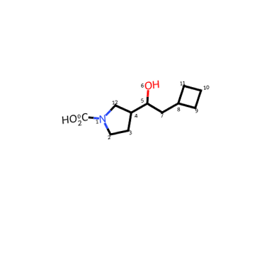 O=C(O)N1CCC(C(O)CC2CCC2)C1